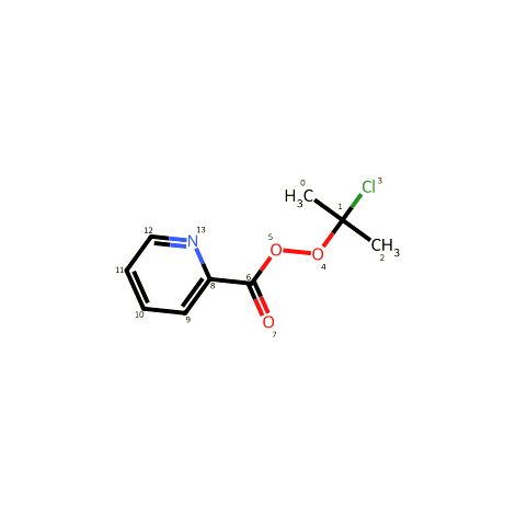 CC(C)(Cl)OOC(=O)c1ccccn1